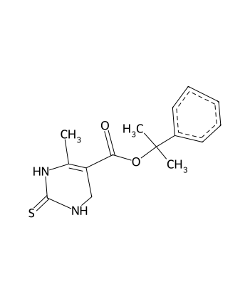 CC1=C(C(=O)OC(C)(C)c2ccccc2)CNC(=S)N1